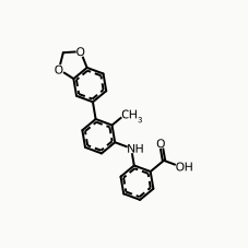 Cc1c(Nc2ccccc2C(=O)O)cccc1-c1ccc2c(c1)OCO2